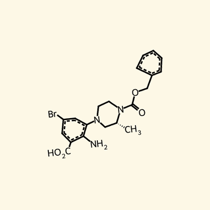 C[C@@H]1CN(c2cc(Br)cc(C(=O)O)c2N)CCN1C(=O)OCc1ccccc1